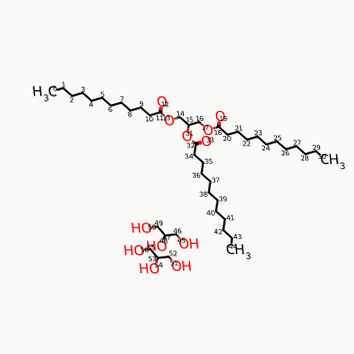 CCCCCCCCCCCC(=O)OCC(COC(=O)CCCCCCCCCCC)OC(=O)CCCCCCCCCCC.OCC(O)CO.OCC(O)CO